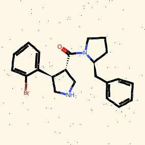 O=C([C@@H]1CNC[C@H]1c1ccccc1Br)N1CCC[C@H]1Cc1ccccc1